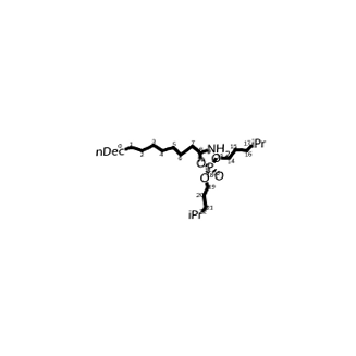 CCCCCCCCCCCCCCCCCC(N)OP(=O)(OCCCC(C)C)OCCCC(C)C